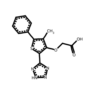 Cc1c(-c2ccccc2)sc(-c2nn[nH]n2)c1OCC(=O)O